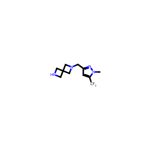 Cn1nc(CN2CC3(CNC3)C2)cc1C(F)(F)F